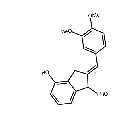 COc1ccc(/C=C2\Cc3c(O)cccc3C2C=O)cc1OC